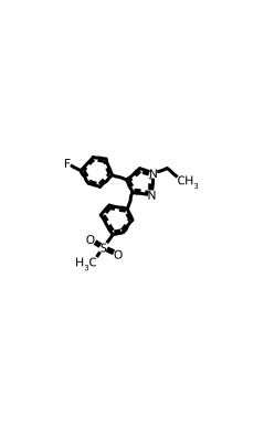 CCn1cc(-c2ccc(F)cc2)c(-c2ccc(S(C)(=O)=O)cc2)n1